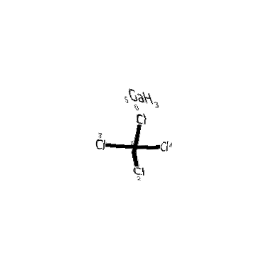 ClC(Cl)(Cl)Cl.[GaH3]